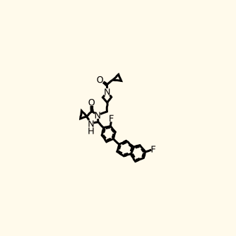 O=C(C1CC1)N1CC(CN2C(=O)C3(CC3)NC2c2ccc(-c3ccc4ccc(F)cc4c3)cc2F)C1